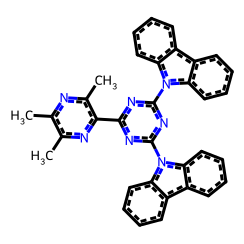 Cc1nc(C)c(-c2nc(-n3c4ccccc4c4ccccc43)nc(-n3c4ccccc4c4ccccc43)n2)nc1C